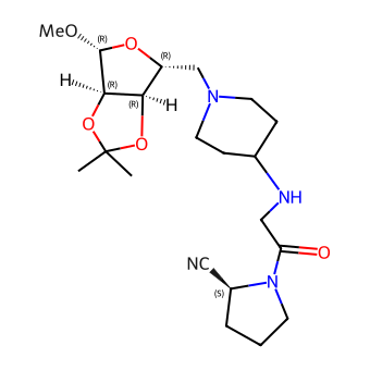 CO[C@@H]1O[C@H](CN2CCC(NCC(=O)N3CCC[C@H]3C#N)CC2)[C@H]2OC(C)(C)O[C@@H]12